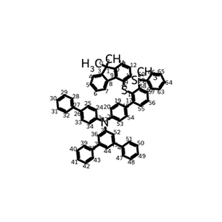 CC1(C)c2ccccc2-c2c1ccc1c2Sc2c(-c3ccc(N(c4ccc(-c5ccccc5)cc4)c4cc(-c5ccccc5)cc(-c5ccccc5)c4)cc3)cccc2[Si]1(C)c1ccccc1